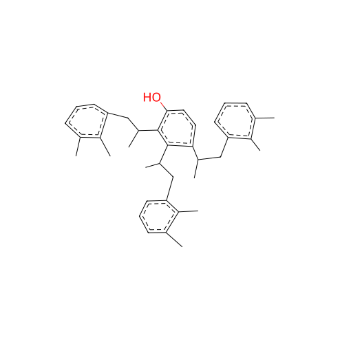 Cc1cccc(CC(C)c2ccc(O)c(C(C)Cc3cccc(C)c3C)c2C(C)Cc2cccc(C)c2C)c1C